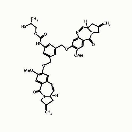 C=C1C[C@H]2C=Nc3cc(OCc4cc(COc5cc6c(cc5OC)C(=O)N5CC(=C)C[C@H]5C=N6)cc(NC(=O)OC[C@@H](C)S)c4)c(OC)cc3C(=O)N2C1